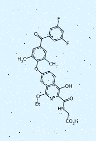 CCOc1nc(C(=O)NCC(=O)O)c(O)c2ccc(Oc3c(C)cc(C(=O)c4cc(F)cc(F)c4)cc3C)cc12